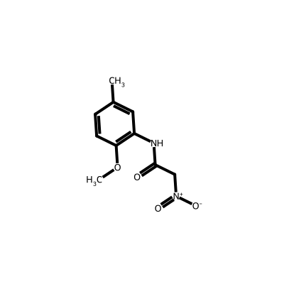 COc1ccc(C)cc1NC(=O)C[N+](=O)[O-]